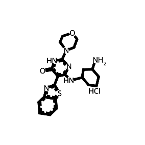 Cl.NC1CCCC(Nc2nc(N3CCOCC3)[nH]c(=O)c2-c2nc3ccccc3s2)C1